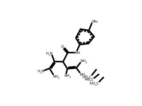 CC(=O)O.CC(=O)O.CC(=O)O.CCCCc1ccc(NC(=O)C(C(N)=C(N)N)C(N)=C(N)N)cc1